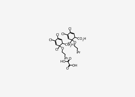 CC(C)CCOC1(Cl)C=C(Cl)C(Cl)=CC1C(=O)O.CC(C)CCOC1(Cl)C=C(Cl)C(Cl)=CC1C(=O)O.O=C(O)C(=O)O